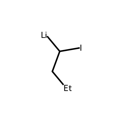 [Li][CH](I)CCC